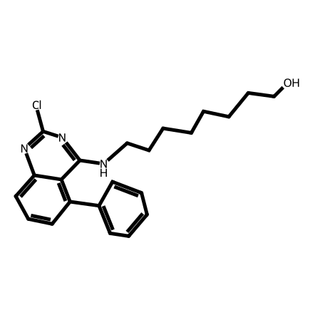 OCCCCCCCCNc1nc(Cl)nc2cccc(-c3ccccc3)c12